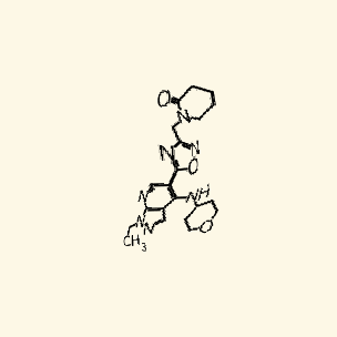 CCn1ncc2c(NC3CCOCC3)c(-c3nc(CN4CCCCC4=O)no3)cnc21